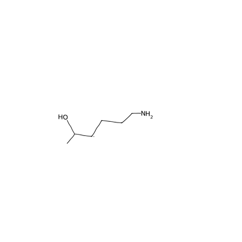 CC(O)[CH]CCCN